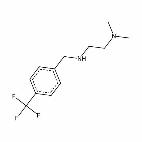 CN(C)CCNCc1ccc(C(F)(F)F)cc1